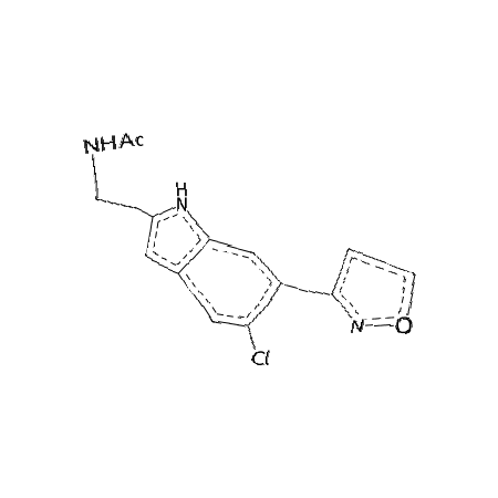 CC(=O)NCc1cc2cc(Cl)c(-c3ccon3)cc2[nH]1